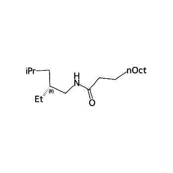 CCCCCCCCCCC(=O)NC[C@H](CC)CC(C)C